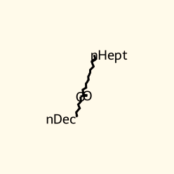 CCCCCCC/C=C/CCCCCCCCC(=O)OCCCCCCCCCCCCCCC